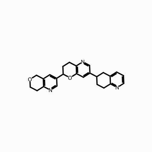 c1cnc2c(c1)CC(c1cnc3c(c1)OC(c1cnc4c(c1)COCC4)CC3)CC2